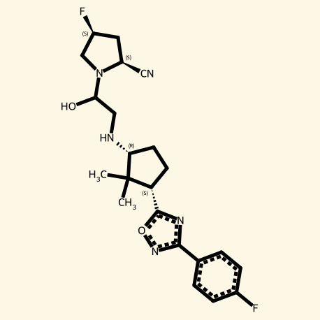 CC1(C)[C@@H](c2nc(-c3ccc(F)cc3)no2)CC[C@H]1NCC(O)N1C[C@@H](F)C[C@H]1C#N